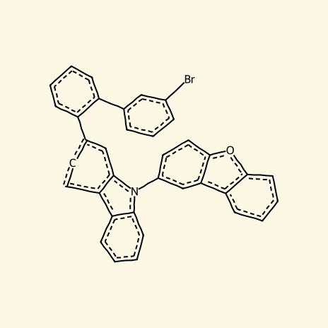 Brc1cccc(-c2ccccc2-c2ccc3c4ccccc4n(-c4ccc5oc6ccccc6c5c4)c3c2)c1